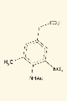 CC(=O)Nc1c(C)cc(CC(=O)O)cc1[N+](=O)[O-]